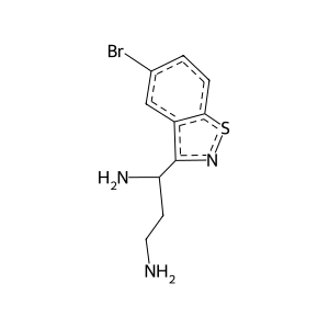 NCCC(N)c1nsc2ccc(Br)cc12